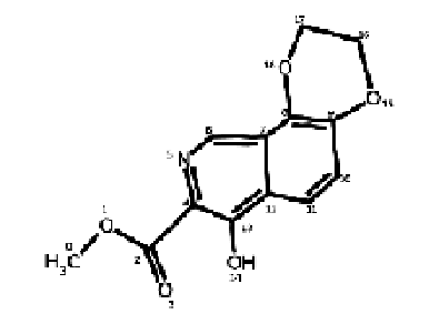 COC(=O)c1ncc2c3c(ccc2c1O)OCCO3